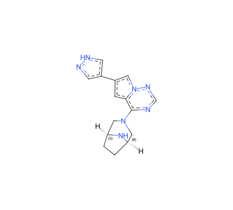 c1nc(N2C[C@H]3CC[C@@H](C2)N3)c2cc(-c3cn[nH]c3)cn2n1